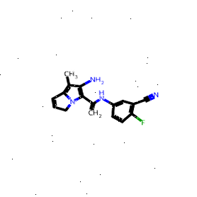 C=C(Nc1ccc(F)c(C#N)c1)c1c(N)c(C)c2n1CC=C2